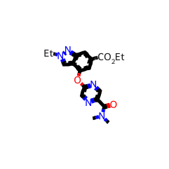 CCOC(=O)c1cc(Oc2cnc(C(=O)N(C)C)cn2)c2cn(CC)nc2c1